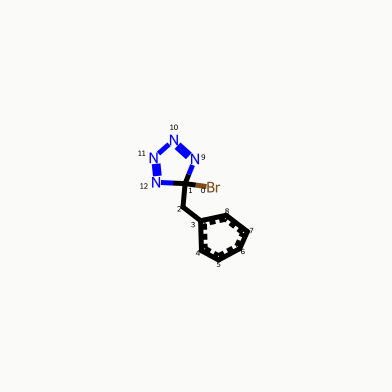 BrC1(Cc2ccccc2)N=NN=N1